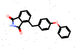 O=C1NC(=O)c2c(Cc3ccc(Oc4ccccc4)cc3)cccc21